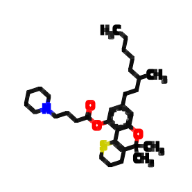 CCCCCC(C)CCc1cc(OC(=O)CCCN2CCCCC2)c2c(c1)OC(C)(C)C1=C2SCCC1